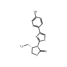 N#Cc1ccc(-c2csc(N3C(=O)OC[C@@H]3CC(F)(F)F)n2)cc1